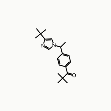 CC(c1ccc(C(=O)C(C)(C)C)cc1)n1cnc(C(C)(C)C)c1